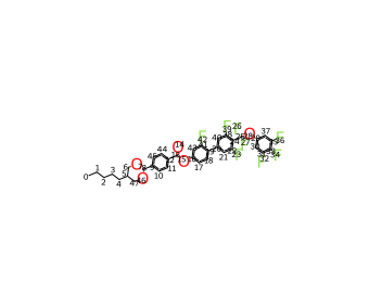 CCCCCC1COC(c2ccc(C(=O)Oc3ccc(-c4cc(F)c(C(F)(F)Oc5cc(F)c(F)c(F)c5)c(F)c4)c(F)c3)cc2)OC1